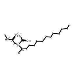 CCCCCCCCCCCCC(C)N(CC(=O)NC)C(=O)O